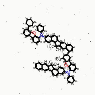 CC(C)(C)c1cc(-c2cccc3cc4c(cc23)C(C)(C)c2c-4ccc3cc(N(c4ccccc4)c4cccc5c4oc4c(C6CCCCC6)cccc45)ccc23)cc2c1oc1c(N(c3ccccc3)c3ccc4c5c(ccc4c3)-c3cc4ccccc4cc3C5(C)C)cccc12